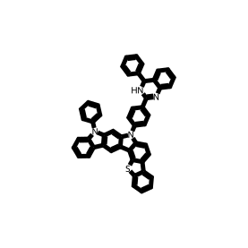 c1ccc(C2NC(c3ccc(-n4c5cc6c(cc5c5c7sc8ccccc8c7ccc54)c4ccccc4n6-c4ccccc4)cc3)=Nc3ccccc32)cc1